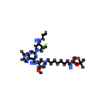 C=CCN[C@@H]1CN(c2nc(Nc3cn(CCCCCCCNC(=O)OC(C)(C)C)nc3OC)c3ncn(C)c3n2)C[C@H]1F